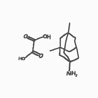 CC12CC3CC(C)(C1)CC(N)(C3)C2.O=C(O)C(=O)O